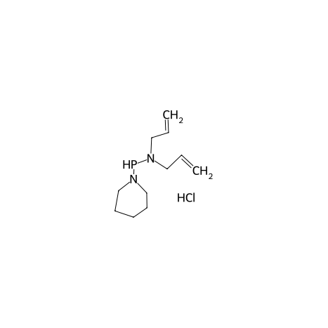 C=CCN(CC=C)PN1CCCCC1.Cl